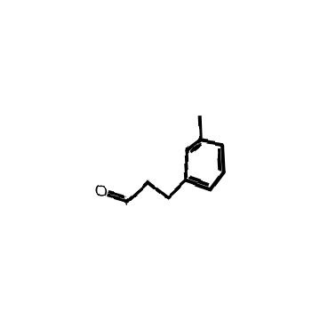 Cc1cccc(CC[C]=O)c1